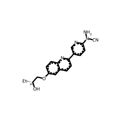 CC[C@@H](O)COc1ccc2nc(-c3ccc(N(N)C#N)nc3)ccc2c1